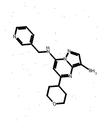 Bc1cnn2c(NCc3cccnc3)cc(C3CCOCC3)nc12